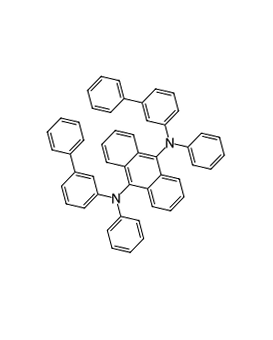 c1ccc(-c2cccc(N(c3ccccc3)c3c4ccccc4c(N(c4ccccc4)c4cccc(-c5ccccc5)c4)c4ccccc34)c2)cc1